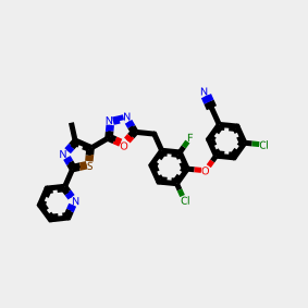 Cc1nc(-c2ccccn2)sc1-c1nnc(Cc2ccc(Cl)c(Oc3cc(Cl)cc(C#N)c3)c2F)o1